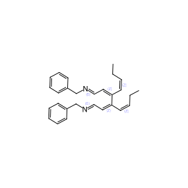 CC\C=C/C(=C/C=N/Cc1ccccc1)C(/C=C\CC)=C\C=N\Cc1ccccc1